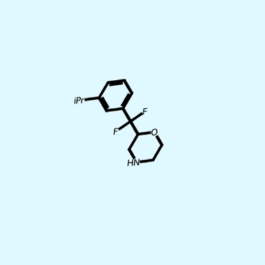 CC(C)c1cccc(C(F)(F)C2CNCCO2)c1